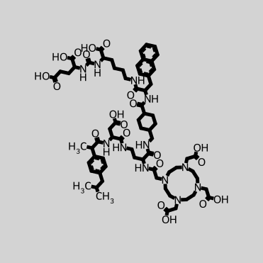 CC(C)Cc1ccc(C(C)C(=O)NC(CC(=O)O)C(=O)NCCC(NC(=O)CN2CCN(CC(=O)O)CCN(CC(=O)O)CCN(CC(=O)O)CC2)C(=O)NCC2CCC(C(=O)NC(Cc3ccc4ccccc4c3)C(=O)NCCCCC(NC(=O)NC(CCC(=O)O)C(=O)O)C(=O)O)CC2)cc1